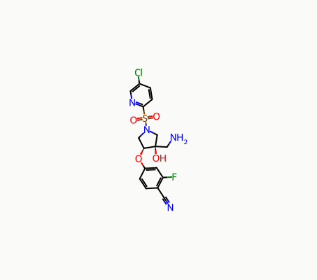 N#Cc1ccc(O[C@H]2CN(S(=O)(=O)c3ccc(Cl)cn3)C[C@]2(O)CN)cc1F